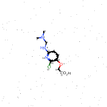 CN(C)CNc1ccc(OCC(=O)O)c(Cl)n1